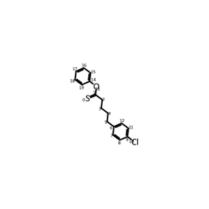 S=C(CCCCc1ccc(Cl)cc1)Oc1ccccc1